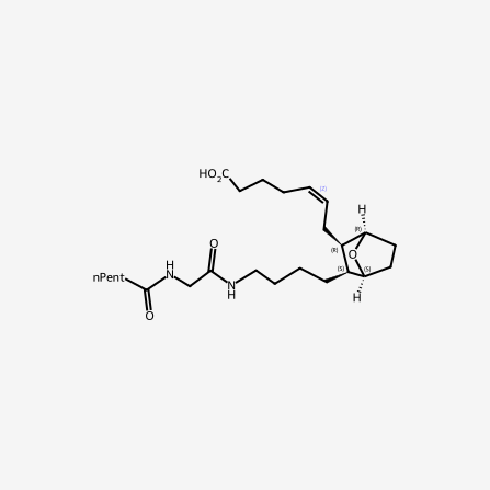 CCCCCC(=O)NCC(=O)NCCCC[C@H]1[C@@H](C/C=C\CCCC(=O)O)[C@H]2CC[C@@H]1O2